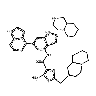 C1CCN2CCNCC2C1.O=C(Nc1cc(-c2cccc3[nH]ccc23)cc2[nH]ncc12)c1nc(CN2CCN3CCCCC3C2)sc1C(=O)O